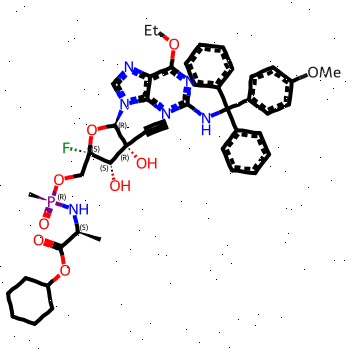 C#C[C@]1(O)[C@H](n2cnc3c(OCC)nc(NC(c4ccccc4)(c4ccccc4)c4ccc(OC)cc4)nc32)O[C@](F)(CO[P@@](C)(=O)N[C@@H](C)C(=O)OC2CCCCC2)[C@H]1O